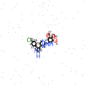 COc1cc(Nc2nccc(-c3c[nH]nc3-c3ccc(Cl)cc3)n2)cc(OC)c1OC